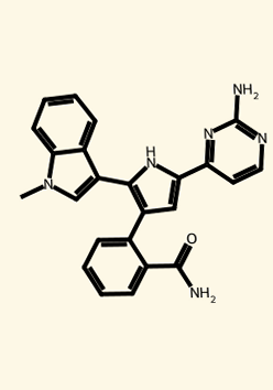 Cn1cc(-c2[nH]c(-c3ccnc(N)n3)cc2-c2ccccc2C(N)=O)c2ccccc21